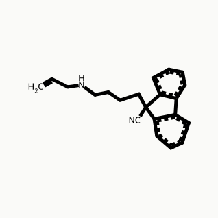 C=CCNCCCCC1(C#N)c2ccccc2-c2ccccc21